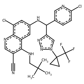 CC(C)(C)CNc1c(C#N)cnc2c(Cl)cc(NC(c3ccc(Cl)nc3)c3cn(C4(C(F)(F)F)CC4)nn3)cc12